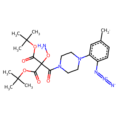 [CH2]c1ccc(N=[N+]=[N-])c(N2CCN(C(=O)C(ON)(C(=O)OC(C)(C)C)C(=O)OC(C)(C)C)CC2)c1